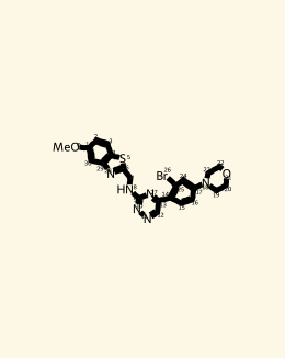 COc1ccc2sc(CNc3nncc(-c4ccc(N5CCOCC5)cc4Br)n3)nc2c1